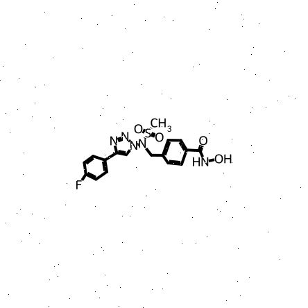 CS(=O)(=O)N(Cc1ccc(C(=O)NO)cc1)n1cc(-c2ccc(F)cc2)nn1